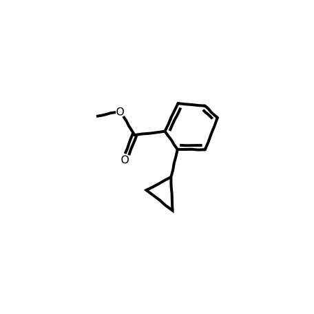 COC(=O)c1ccccc1C1CC1